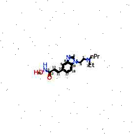 CCCN(CC)CCn1cnc2cc(C=CC(=O)NO)ccc21